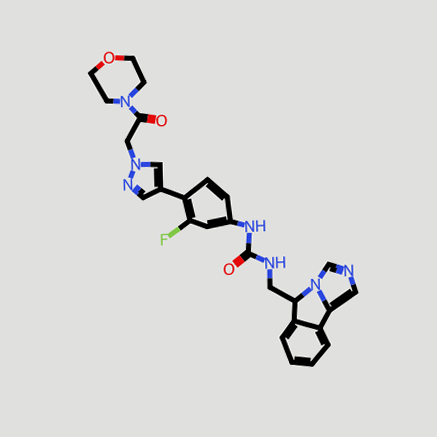 O=C(NCC1c2ccccc2-c2cncn21)Nc1ccc(-c2cnn(CC(=O)N3CCOCC3)c2)c(F)c1